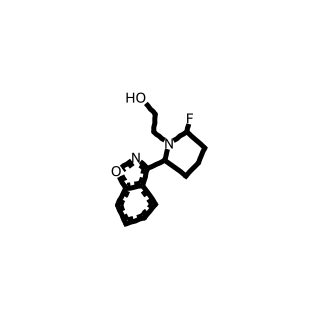 OCCN1C(F)CCCC1c1noc2ccccc12